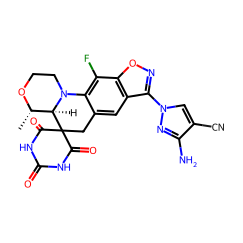 C[C@@H]1OCCN2c3c(cc4c(-n5cc(C#N)c(N)n5)noc4c3F)CC3(C(=O)NC(=O)NC3=O)[C@@H]12